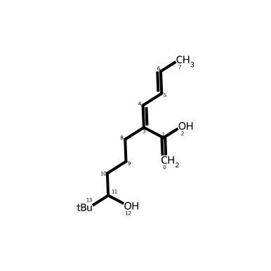 C=C(O)/C(=C\C=C\C)CCCC(O)C(C)(C)C